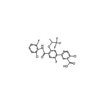 CC(Oc1cc(-c2cc(C(=O)O)c(Cl)cn2)c(F)cc1C(=O)Nc1c(F)cccc1Cl)C(F)(F)F